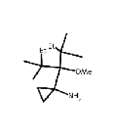 CCC(C)(C)C(OC)(C(C)(C)CC)C1(N)CC1